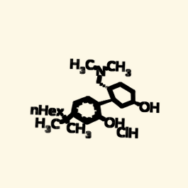 CCCCCCC(C)(C)c1ccc([C@@H]2C[C@H](O)CC[C@H]2CN(C)C)c(O)c1.Cl